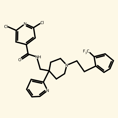 O=C(NCC1(c2ccccn2)CCN(CCc2ccccc2C(F)(F)F)CC1)c1cc(Cl)nc(Cl)c1